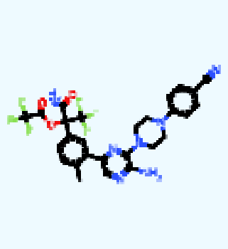 Cc1ccc(C(OC(=O)C(F)(F)F)(C(N)=O)C(F)(F)F)cc1-c1cnc(N)c(N2CCN(c3ccc(C#N)cc3)CC2)n1